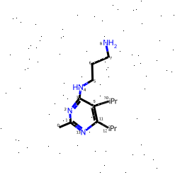 Cc1nc(NCCCN)c(C(C)C)c(C(C)C)n1